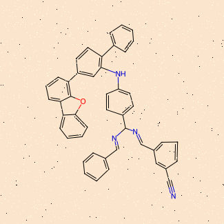 N#Cc1cccc(/C=N/C(/N=C/c2ccccc2)c2ccc(Nc3cc(-c4cccc5c4oc4ccccc45)ccc3-c3ccccc3)cc2)c1